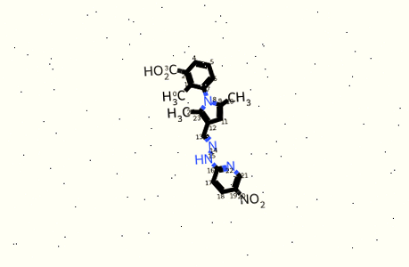 Cc1c(C(=O)O)cccc1-n1c(C)cc(/C=N/Nc2ccc([N+](=O)[O-])cn2)c1C